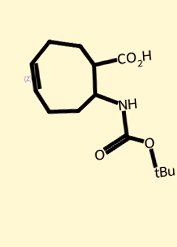 CC(C)(C)OC(=O)NC1CC/C=C\CCC1C(=O)O